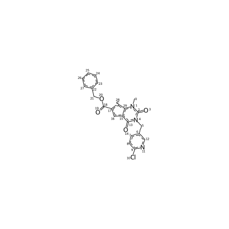 Cn1c(=O)n(Cc2ccc(Cl)nc2)c(=O)c2cc(C(=O)OCc3ccccc3)sc21